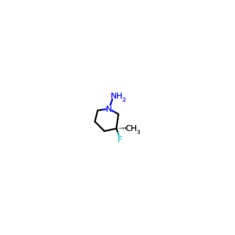 C[C@]1(F)CCCN(N)C1